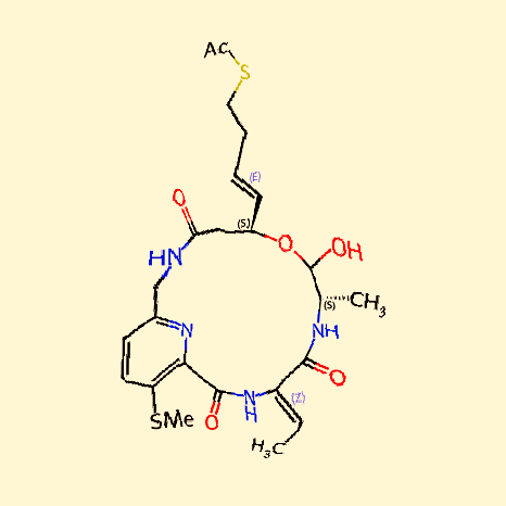 C/C=C1\NC(=O)c2nc(ccc2SC)CNC(=O)C[C@@H](/C=C/CCSC(C)=O)OC(O)[C@H](C)NC1=O